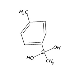 Cc1ccc([Si](C)(O)O)cc1